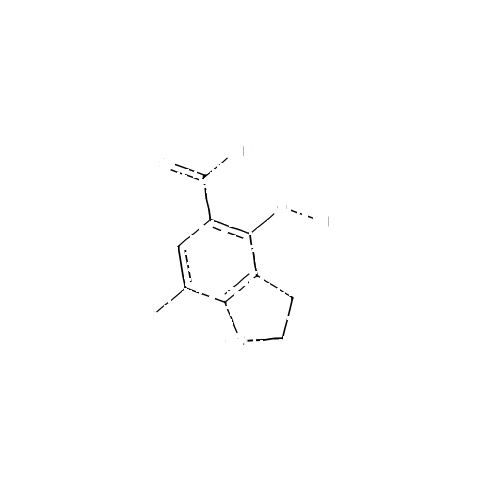 COc1c(C(=O)O)cc(Cl)c2c1CCN2